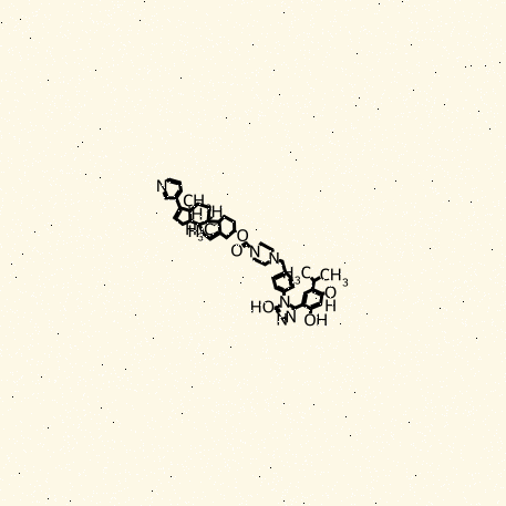 CC(C)c1cc(-c2nnc(O)n2-c2ccc(CN3CCN(C(=O)O[C@H]4CC[C@@]5(C)C(=CC[C@@H]6[C@@H]5CC[C@]5(C)C(c7cccnc7)=CC[C@@H]65)C4)CC3)cc2)c(O)cc1O